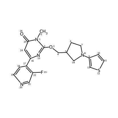 Cn1c(OCC2CCN(c3ccsc3)C2)nc(-c2ccncc2F)cc1=O